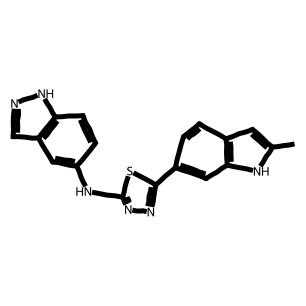 Cc1cc2ccc(-c3nnc(Nc4ccc5[nH]ncc5c4)s3)cc2[nH]1